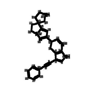 C(#Cc1c[nH]c2c1CC(c1cc3n(n1)CCC31CCNC1)C=N2)c1ccccc1